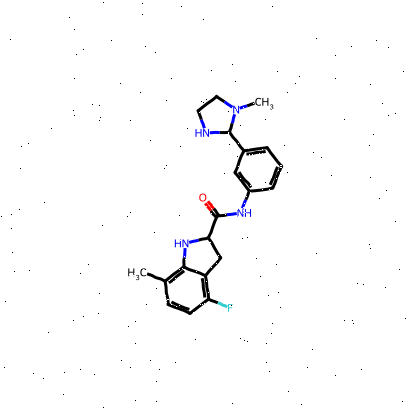 Cc1ccc(F)c2c1NC(C(=O)Nc1cccc(C3NCCN3C)c1)C2